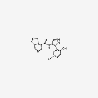 O=C(Nc1c[nH]nc1-c1cc(Cl)ccc1O)c1cncc2c1COC2